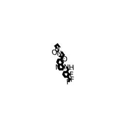 CO[C@@]1(c2ccc3nccc(N[C@H](C)c4cccc(C(F)F)c4F)c3c2)CCN(C(=O)N2CCC2)C1